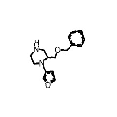 c1ccc(COCC2CNCCN2c2ccoc2)cc1